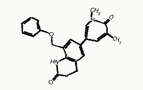 Cc1cc(-c2cc3c(c(COc4ccccc4)c2)NC(=O)CC3)cn(C)c1=O